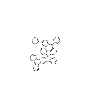 c1ccc(-c2ccc(N(c3ccccc3)c3cccc4c3-c3ccccc3C43c4ccccc4-c4cc5c6ccccc6c6ccccc6c5cc43)cc2)cc1